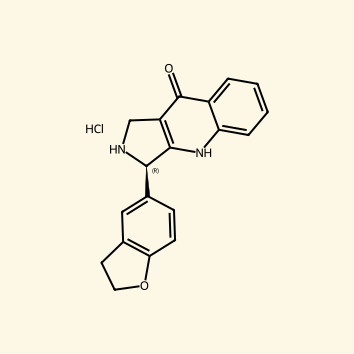 Cl.O=c1c2c([nH]c3ccccc13)[C@@H](c1ccc3c(c1)CCO3)NC2